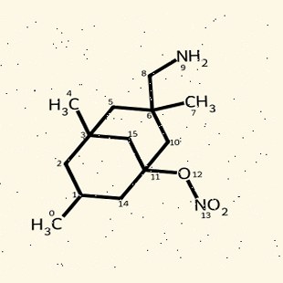 CC1CC2(C)CC(C)(CN)CC(O[N+](=O)[O-])(C1)C2